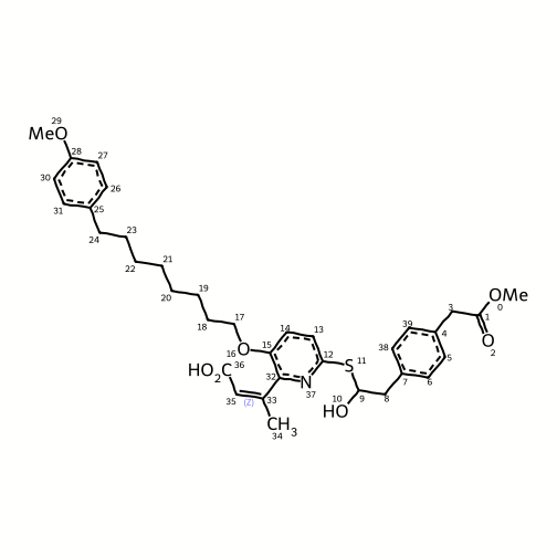 COC(=O)Cc1ccc(CC(O)Sc2ccc(OCCCCCCCCc3ccc(OC)cc3)c(/C(C)=C\C(=O)O)n2)cc1